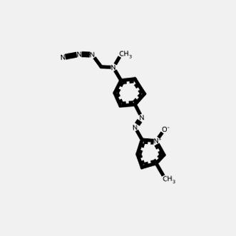 Cc1ccc(/N=N/c2ccc(N(C)CN=[N+]=[N-])cc2)[n+]([O-])c1